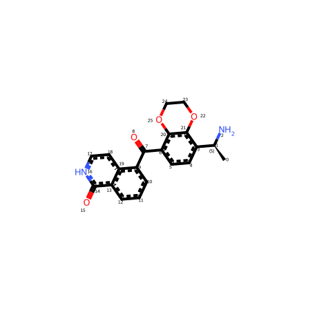 C[C@H](N)c1ccc(C(=O)c2cccc3c(=O)[nH]ccc23)c2c1OCCO2